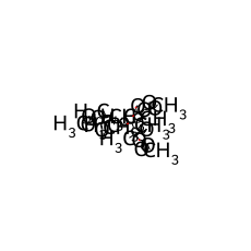 COC(=O)COc1c(C)cc(C(c2ccc(C(C)(C)c3cc(C)c(OCC(=O)OC)c(C=O)c3C)cc2)c2cc(C)c(OCC(=O)OC)c(C=O)c2C)c(C)c1C=O